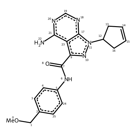 COCc1ccc(NC(=O)c2nn(C3CC=CC3)c3ncnc(N)c23)cc1